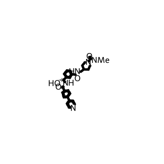 CNC(=O)N1CCC(CNC(=O)c2cccc([C@@H](CO)NC(=O)c3ccc(-c4ccncc4)cc3)c2)CC1